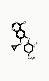 O=C(O)N1CC[C@@H](Oc2cc3c(Cl)ncnc3cc2OC2CC2)[C@H](F)C1